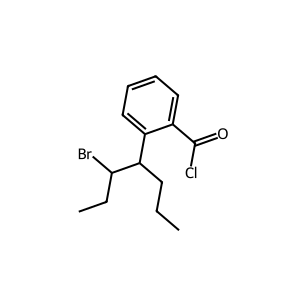 CCCC(c1ccccc1C(=O)Cl)C(Br)CC